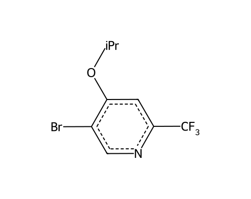 CC(C)Oc1cc(C(F)(F)F)ncc1Br